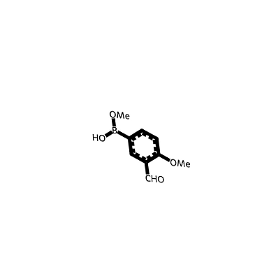 COB(O)c1ccc(OC)c(C=O)c1